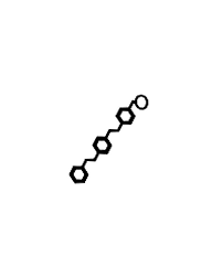 O=Cc1ccc(CCc2ccc(CCc3ccccc3)cc2)cc1